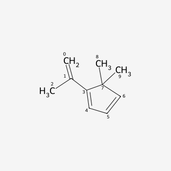 C=C(C)C1=CC=CC1(C)C